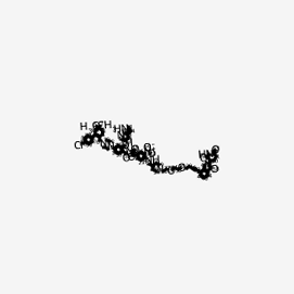 CC1(C)CCC(CN2CCN(c3ccc(C(=O)NS(=O)(=O)c4ccc(NCC5CCN(CCOCCOCCC#Cc6cccc7c6CN(C6CCC(=O)NC6=O)C7=O)CC5)c([N+](=O)[O-])c4)c(Oc4cnc5[nH]ccc5c4)c3)CC2)=C(c2ccc(Cl)cc2)C1